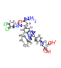 NC(=O)CC(NCc1ccc(Cl)c(Cl)c1)c1ccc2c(c1)nc(-c1ccc(N(CCO)CCO)cc1)n2CC1CCCCC1